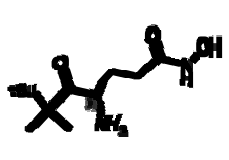 CC(C)(C)C(C)(C)C(=O)[C@H](N)CCC(=O)NO